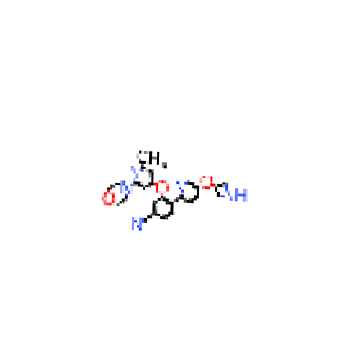 Cc1cc(Oc2cc(C#N)ccc2-c2ccc(OC3CNC3)cn2)cc(N2CCOCC2)n1